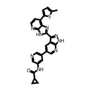 Cc1ccc(-c2ccnc3[nH]c(-c4n[nH]c5ncc(-c6cncc(NC(=O)C7CC7)c6)cc45)nc23)s1